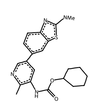 CNc1nc2ccc(-c3cnc(C)c(NC(=O)OC4CCCCC4)c3)cc2s1